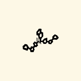 c1ccc(-c2cccc(-c3ccc(-c4nc(-c5ccc(-c6cccc(-c7ccccc7)c6)cc5)c5ccc6ccccc6c5n4)cc3)c2)cc1